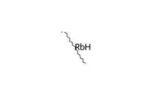 [CH2]CCCCCCCCCCCCCCC.[RbH]